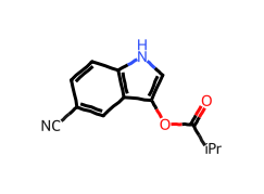 CC(C)C(=O)Oc1c[nH]c2ccc(C#N)cc12